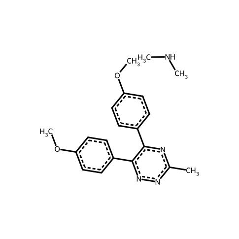 CNC.COc1ccc(-c2nnc(C)nc2-c2ccc(OC)cc2)cc1